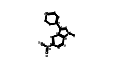 Cn1cc(C2=CC=NCC2)c2cc([N+](=O)[O-])ccc21